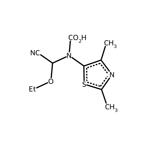 CCOC(C#N)N(C(=O)O)c1sc(C)nc1C